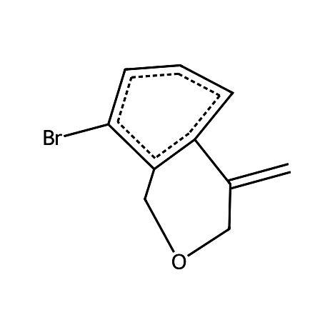 C=C1COCc2c(Br)cccc21